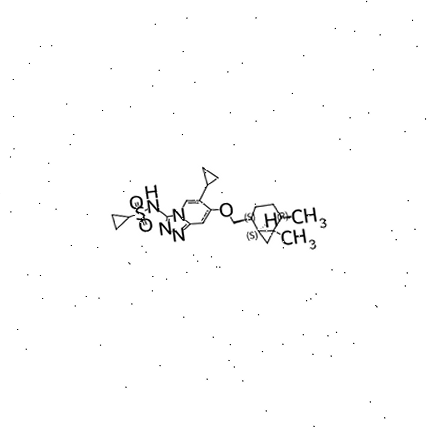 C[C@@H]1CC[C@H](COc2cc3nnc(NS(=O)(=O)C4CC4)n3cc2C2CC2)[C@@H]2CC12C